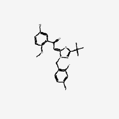 COc1ccc(Cl)cc1C(=O)/C=C1\SC(C(C)(C)C)=NN1Cc1ccc(F)cc1F